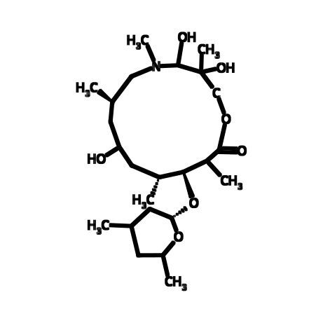 CC1CC(C)O[C@@H](O[C@@H]2C(C)C(=O)OCC(C)(O)C(O)N(C)C[C@H](C)CC(O)C[C@H]2C)C1